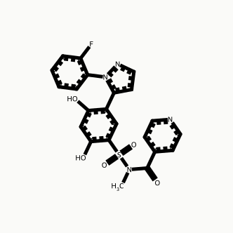 CN(C(=O)c1ccncc1)S(=O)(=O)c1cc(-c2ccnn2-c2ccccc2F)c(O)cc1O